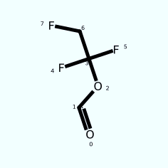 O=[C]OC(F)(F)CF